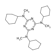 CN(c1nc(N(C)C2CCCCC2)nc(N(C)C2CCCCC2)n1)C1CCCCC1